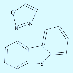 c1ccc2c(c1)sc1ccccc12.c1conn1